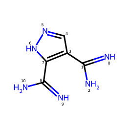 N=C(N)c1cn[nH]c1C(=N)N